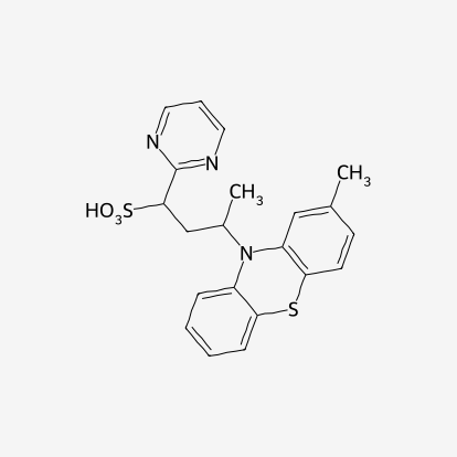 Cc1ccc2c(c1)N(C(C)CC(c1ncccn1)S(=O)(=O)O)c1ccccc1S2